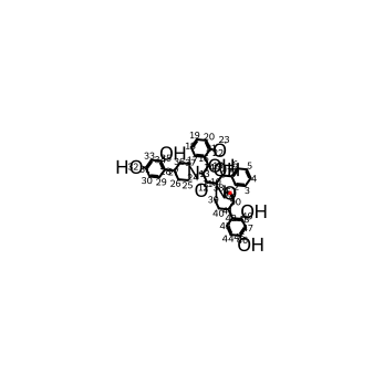 COc1ccccc1[C@H](O)C(C(=O)C([C@@H](O)c1ccccc1OC)N1CCC(c2ccc(O)cc2O)CC1)N1CCC(c2ccc(O)cc2O)CC1